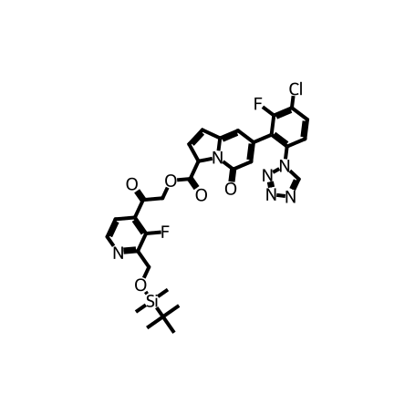 CC(C)(C)[Si](C)(C)OCc1nccc(C(=O)COC(=O)C2C=Cc3cc(-c4c(-n5cnnn5)ccc(Cl)c4F)cc(=O)n32)c1F